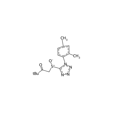 Cc1ccc(-n2nnnc2[S+]([O-])CC(=O)C(C)(C)C)c(C)c1